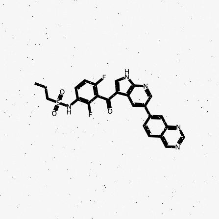 CCCS(=O)(=O)Nc1ccc(F)c(C(=O)c2c[nH]c3ncc(-c4ccc5cncnc5c4)cc23)c1F